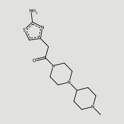 CN1CCC(N2CCN(C(=O)Cc3csc(N)n3)CC2)CC1